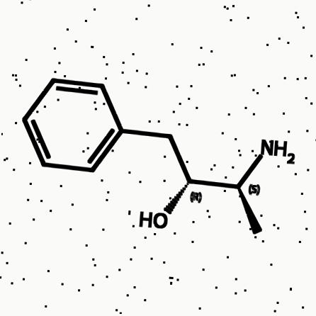 C[C@H](N)[C@H](O)Cc1ccccc1